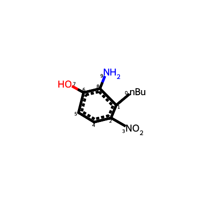 CCCCc1c([N+](=O)[O-])ccc(O)c1N